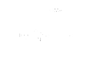 COc1cc(C)c(S(=O)(=O)N(Cc2ccc(-c3cc4ccccc4o3)cc2)C(Cc2ccccc2)C(=O)O)c(C)c1C